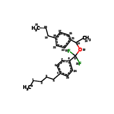 CCCCCc1ccc(C(F)(F)OC(C)c2ccc(CCC)cc2)cc1